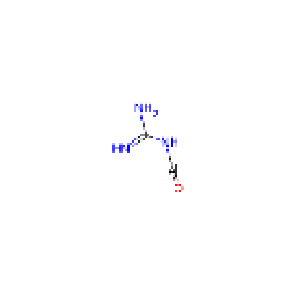 N=C(N)[NH][Al]=[O]